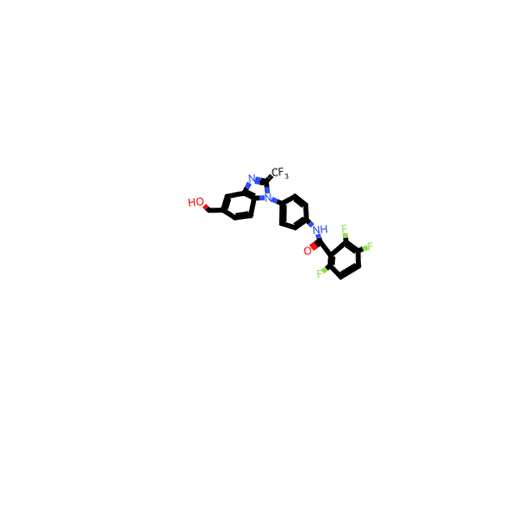 O=C(Nc1ccc(-n2c(C(F)(F)F)nc3cc(CO)ccc32)cc1)c1c(F)ccc(F)c1F